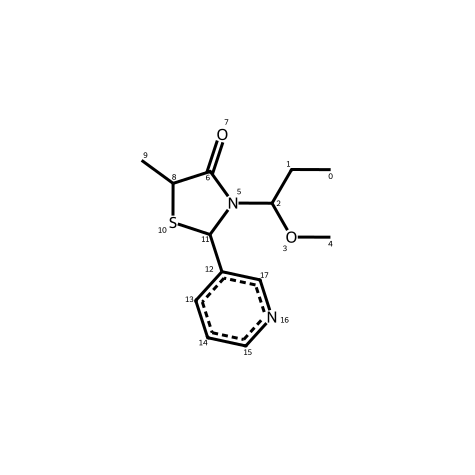 CCC(OC)N1C(=O)C(C)SC1c1cccnc1